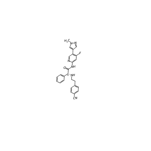 Cn1cc(-c2cnc(NC(=O)[C@H](NCCc3ccc(C#N)cc3)c3ccccc3)cc2F)cn1